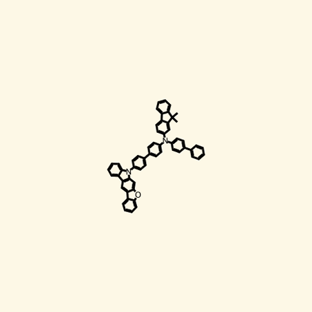 CC1(C)c2ccccc2-c2ccc(N(c3ccc(-c4ccccc4)cc3)c3ccc(-c4ccc(-n5c6ccccc6c6cc7c(cc65)oc5ccccc57)cc4)cc3)cc21